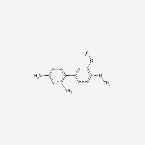 COc1ccc(-c2ccc(N)nc2N)cc1OC